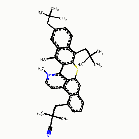 Cc1c2c(c(CC(C)(C)C)c3ccc(CC(C)(C)C)cc13)Sc1cc3cccc(CC(C)(C)C#N)c3c3cc[n+](C)c-2c13